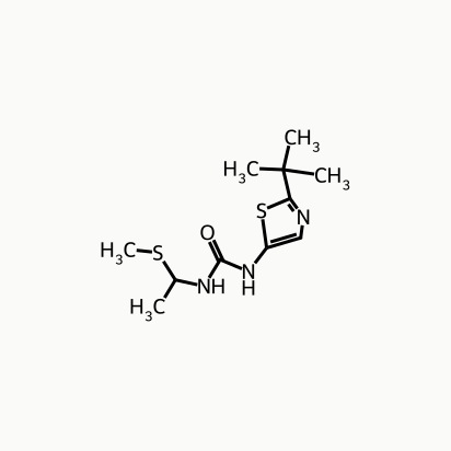 CSC(C)NC(=O)Nc1cnc(C(C)(C)C)s1